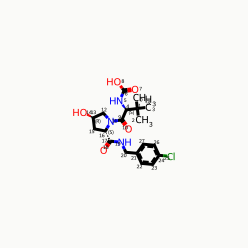 CC(C)(C)[C@H](NC(=O)O)C(=O)N1C[C@H](O)C[C@H]1C(=O)NCc1ccc(Cl)cc1